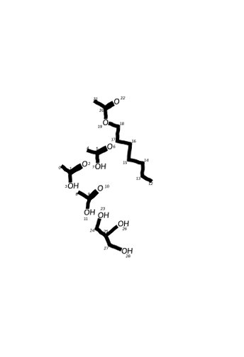 CC(=O)O.CC(=O)O.CC(=O)O.CCCCCCCOC(C)=O.OCC(O)CO